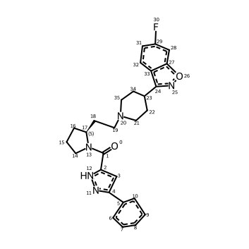 O=C(c1cc(-c2ccccc2)n[nH]1)N1CCC[C@H]1CCN1CCC(c2noc3cc(F)ccc23)CC1